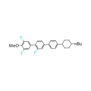 CCCCC1CCC(c2ccc(-c3ccc(-c4cc(F)c(OC)c(F)c4)c(F)c3)cc2)CC1